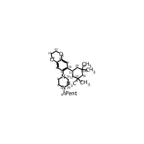 CCCCCN1CCN(c2cc3c(cc2C2CC(C)(C)CC(C)(C)C2)OCCO3)CC1